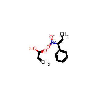 C=CC(=O)O.CC=C(c1ccccc1)[N+](=O)[O-]